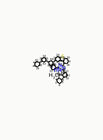 CC1(C)c2ccccc2-c2cccc(C3N=C(c4cccc5sc6ccc(-c7cccc(-c8cccc(-c9ccccc9)c8)c7)cc6c45)N=C(c4ccccc4)N3)c21